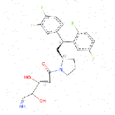 N=CC(O)/C(O)=C/C(=O)N1CCC[C@@H]1C[C@@H](c1ccc(F)c(F)c1)c1cc(F)ccc1F